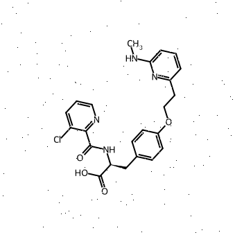 CNc1cccc(CCOc2ccc(C[C@H](NC(=O)c3ncccc3Cl)C(=O)O)cc2)n1